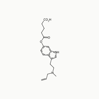 C=CCN(C)CCc1c[nH]c2cc(OC(=O)CCCC(=O)O)ccc12